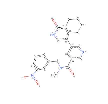 CN(Cc1cccc([N+](=O)[O-])c1)C(=O)c1cncc(-c2c[nH]c(=O)c3c2CCCC3)c1